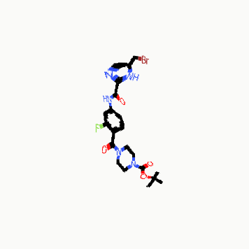 CC(C)(C)OC(=O)N1CCN(C(=O)c2ccc(NC(=O)c3ncc(CBr)[nH]3)cc2F)CC1